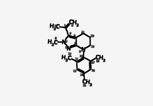 C=C(C)c1c2c(nn1C)N(c1c(C)cc(C)cc1C)CCC2